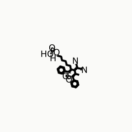 CC1=C(c2ccccc2)S(=O)(=O)C(c2ccccc2)=C(CCCCCCO[PH](=O)O)C1=C(C#N)C#N